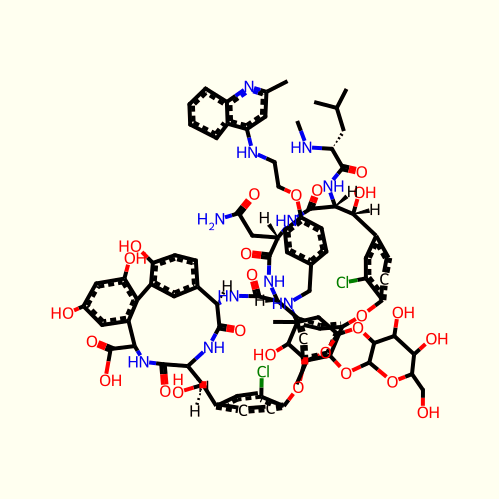 CN[C@H](CC(C)C)C(=O)N[C@H]1C(=O)N[C@@H](CC(N)=O)C(=O)N[C@H]2C(=O)N[C@H]3C(=O)N[C@H](C(=O)NC(C(=O)O)c4cc(O)cc(O)c4-c4cc3ccc4O)[C@H](O)c3ccc(c(Cl)c3)Oc3cc2cc(c3OC2OC(CO)C(O)C(O)C2OC2CC(C)(NCc3ccc(OCCNc4cc(C)nc5ccccc45)cc3)C(O)C(C)O2)Oc2ccc(cc2Cl)[C@H]1O